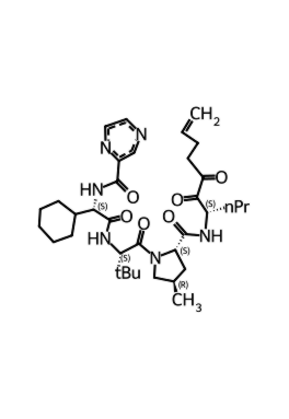 C=CCCC(=O)C(=O)[C@H](CCC)NC(=O)[C@@H]1C[C@@H](C)CN1C(=O)[C@@H](NC(=O)[C@@H](NC(=O)c1cnccn1)C1CCCCC1)C(C)(C)C